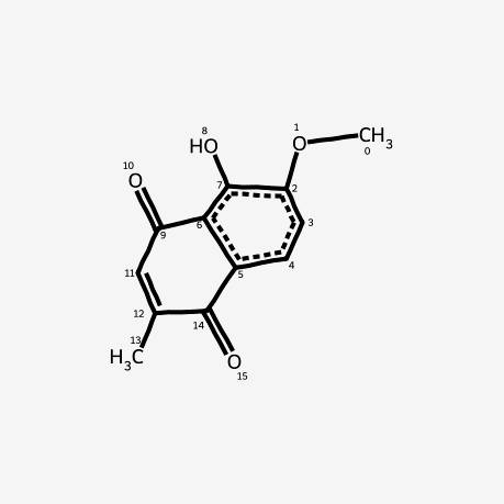 COc1ccc2c(c1O)C(=O)C=C(C)C2=O